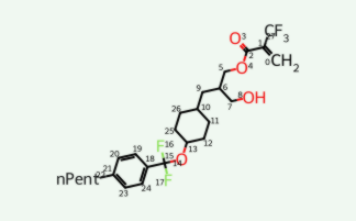 C=C(C(=O)OCC(CO)CC1CCC(OC(F)(F)c2ccc(CCCCC)cc2)CC1)C(F)(F)F